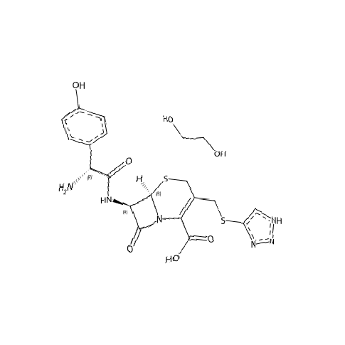 N[C@@H](C(=O)N[C@@H]1C(=O)N2C(C(=O)O)=C(CSc3c[nH]nn3)CS[C@H]12)c1ccc(O)cc1.OCCO